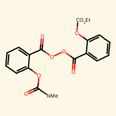 CCOC(=O)Oc1ccccc1C(=O)OOC(=O)c1ccccc1OC(=O)NC